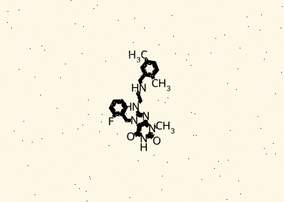 Cc1ccc(C)c(CNCCNc2nc3c(c(=O)[nH]c(=O)n3C)n2Cc2ccccc2F)c1